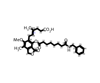 COc1c(C)c2c(c(OC(=O)CCCCCCC(=O)NCc3ccccc3)c1C/C=C(\C)CCC(=O)O)C(=O)OC2